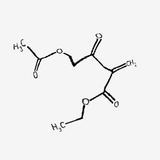 C=C(C(=O)COC(C)=O)C(=O)OCC